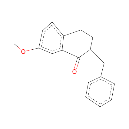 COc1ccc2c(c1)C(=O)C(Cc1ccccc1)CC2